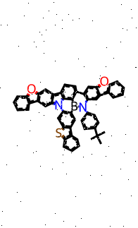 CC(C)(C)c1ccc(N2B3c4cc5c(cc4-n4c6cc7c(cc6c6ccc(c3c64)-c3cc4oc6ccccc6c4cc32)oc2ccccc27)sc2ccccc25)cc1